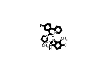 Cc1c(Cl)ccc2[nH]c([C@@H]3[C@@H](C)CCN3C(=O)c3cc(F)ccc3-c3ccccn3)nc12